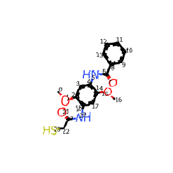 COc1cc(NC(=O)c2ccccc2)c(OC)cc1NC(=O)CS